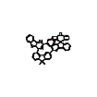 CC1(C)c2ccc(-c3ccc4c(c3)-c3ccccc3C43c4ccccc4Oc4ccccc43)cc2-c2c(C3N=C(c4ccccc4)N=C4c5ccccc5SC43)cccc21